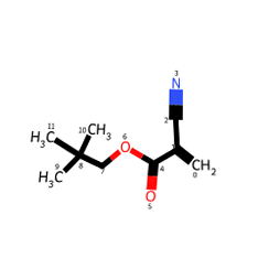 C=C(C#N)C(=O)OCC(C)(C)C